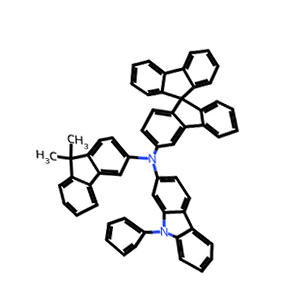 CC1(C)c2ccccc2-c2cc(N(c3ccc4c(c3)-c3ccccc3C43c4ccccc4-c4ccccc43)c3ccc4c5ccccc5n(-c5ccccc5)c4c3)ccc21